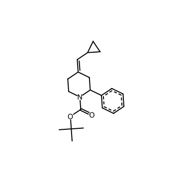 CC(C)(C)OC(=O)N1CCC(=CC2CC2)CC1c1ccccc1